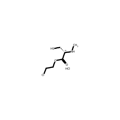 CN[C@@H](CS)C(=O)OCCCl.Cl